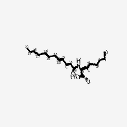 CCCCCC=C(NC(=O)CCCCCCCCCCC)C(=O)O